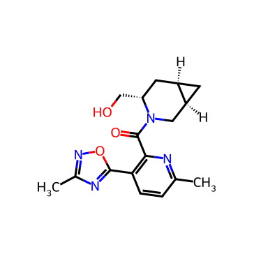 Cc1ccc(-c2nc(C)no2)c(C(=O)N2C[C@@H]3C[C@@H]3C[C@H]2CO)n1